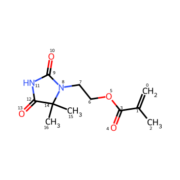 C=C(C)C(=O)OCCN1C(=O)NC(=O)C1(C)C